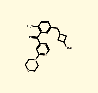 COC1CN(Cc2ccc(N)c(C(=N)c3ccnc(N4CCOCC4)c3)c2)C1